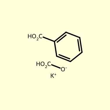 O=C(O)c1ccccc1.O=C([O-])O.[K+]